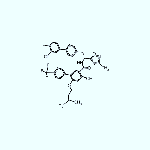 Cc1noc([C@@H](Cc2ccc(-c3ccc(F)c(Cl)c3)cc2)NC(=O)c2cc(-c3ccc(C(F)(F)F)cc3)c(OCCC(C)C)cc2O)n1